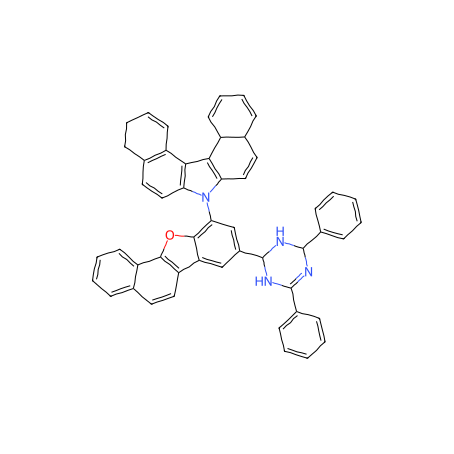 C1=CC2C=Cc3c(c4c5c(ccc4n3-c3cc(C4NC(c6ccccc6)=NC(c6ccccc6)N4)cc4c3oc3c6ccccc6ccc43)CCC=C5)C2C=C1